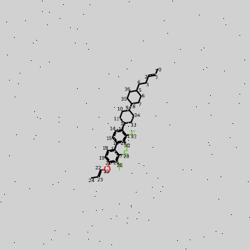 C/C=C/CCC1CCC(C2CCC(c3ccc(-c4ccc(O/C=C/C)c(F)c4F)c(F)c3F)CC2)CC1